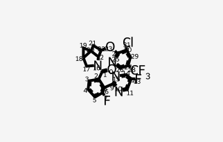 O=C(c1cccc(F)c1-c1ncc(F)cn1)N1CC2CC23CC(Oc2ncc(C(F)(F)F)cc2Cl)C13